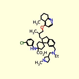 CCN(Cc1ccc2c(c1)C1(CCC(Nc3cccc(Cl)c3)(C(=O)O)CC1)[C@@H](C[C@@H](C)COc1ccnc3c1[C@H](C)CCC3)C2)CC1CCN(C)C1